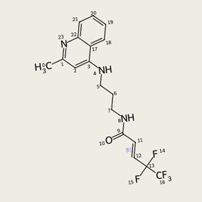 Cc1cc(NCCCNC(=O)/C=C/C(F)(F)C(F)(F)F)c2ccccc2n1